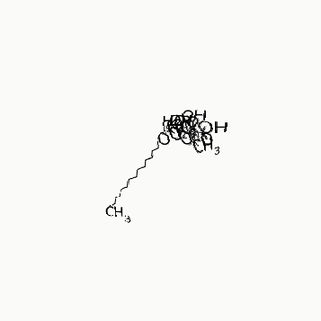 CCCCCCCCCCCCCCCCOC[C@H](CO)OP(=O)(O[C@H](C)[C@H](N)C(=O)O)OP(=O)(O)O